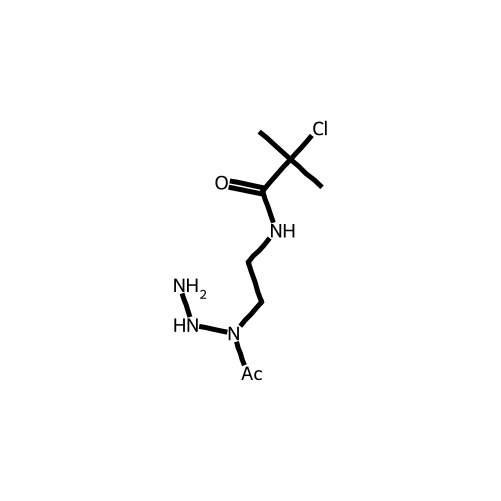 CC(=O)N(CCNC(=O)C(C)(C)Cl)NN